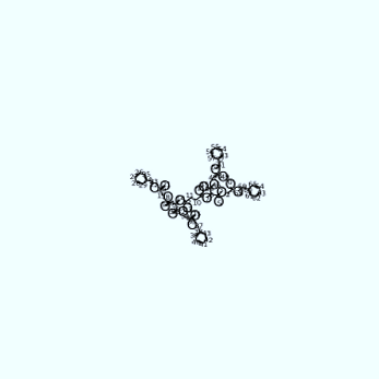 O=C(COC(=O)C(OC(=O)CCC(=O)OC(C(=O)OCC(=O)OCc1ccccc1)C(=O)OCC(=O)OCc1ccccc1)C(=O)OCC(=O)OCc1ccccc1)OCc1ccccc1